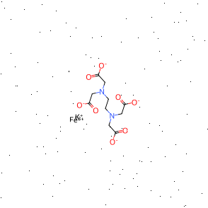 O=C([O-])CN(CCN(CC(=O)[O-])CC(=O)[O-])CC(=O)[O-].[Fe+3].[K+]